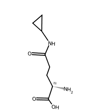 N[C@@H](CCC(=O)NC1CC1)C(=O)O